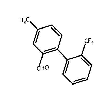 Cc1ccc(-c2ccccc2C(F)(F)F)c(C=O)c1